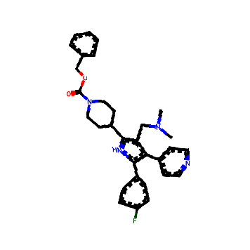 CN(C)Cc1c(C2CCN(C(=O)OCc3ccccc3)CC2)[nH]c(-c2ccc(F)cc2)c1-c1ccncc1